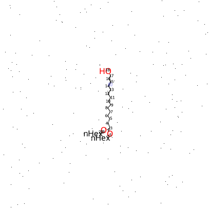 CCCCCCOC(CCCCCCCCCCC/C=C/CCO)OCCCCCC